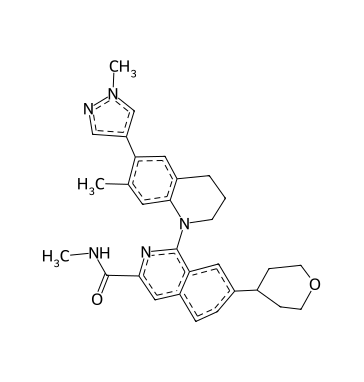 CNC(=O)c1cc2ccc(C3CCOCC3)cc2c(N2CCCc3cc(-c4cnn(C)c4)c(C)cc32)n1